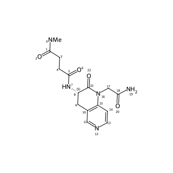 CNC(=O)CCC(=O)N[C@H]1Cc2cnccc2N(CC(N)=O)C1=O